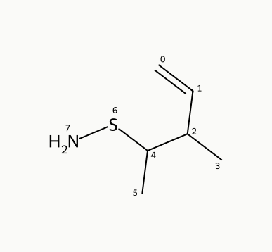 C=CC(C)C(C)SN